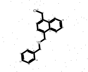 ClCc1ccc(COCc2ccccc2)c2ccccc12